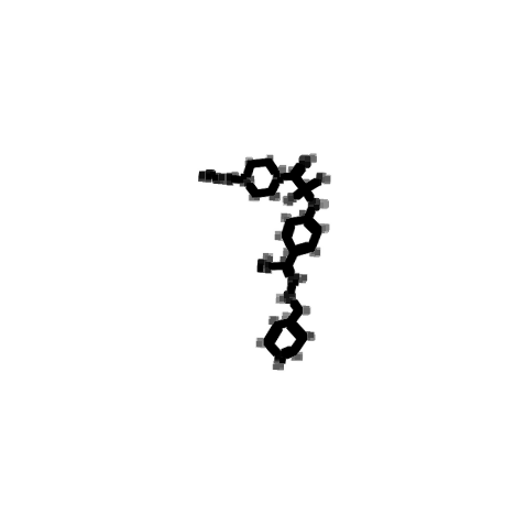 CCCCCN1CCN(C(=O)C(F)(F)Oc2ccc(C(CC)=NOCc3ccncc3)cc2)CC1